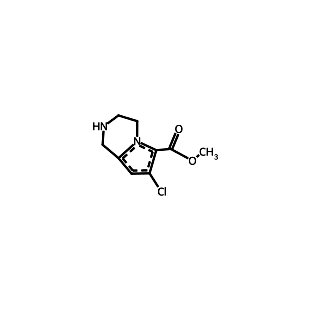 COC(=O)c1c(Cl)cc2n1CCNC2